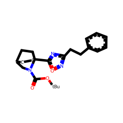 CC(C)(C)OC(=O)N1CC2CCC1(c1nc(CCc3ccccc3)no1)CC2